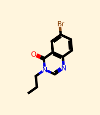 CCCn1cnc2ccc(Br)cc2c1=O